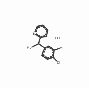 Cl.NC(c1ccc(Cl)c(Cl)c1)c1ccccn1